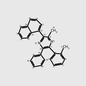 Cc1ccccc1-c1nc(C)c(-c2cccc3ccccc23)nc1-c1ccccc1